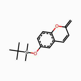 C=C1C=Cc2cc(O[Si](C)(C)C(C)(C)C)ccc2O1